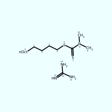 CCCCCCCCCCCCSC(=S)N(C)C.N=C(N)N